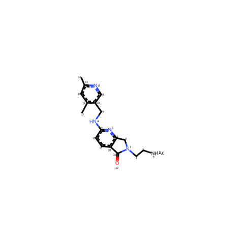 CC(=O)NCCN1Cc2nc(NCc3cnc(C)cc3C)ccc2C1=O